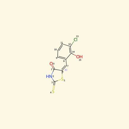 O=C1NC(=S)S/C1=C/c1cccc(Cl)c1O